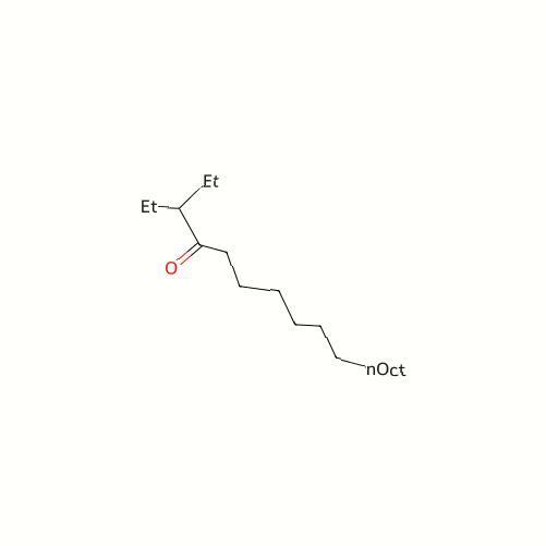 CCCCCCCCCCCCCCC(=O)C(CC)CC